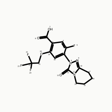 O=C(O)c1cc(F)c(-n2nc3n(c2=O)CCCC3)cc1OCC(F)(F)F